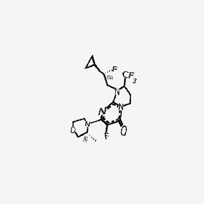 C[C@@H]1COCCN1c1nc2n(c(=O)c1F)CCC(C(F)(F)F)N2C[C@@H](F)C1CC1